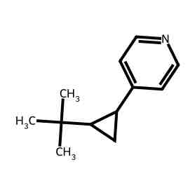 CC(C)(C)C1CC1c1ccncc1